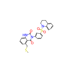 CSCc1cccc2[nH]c(=O)n(-c3cccc(S(=O)(=O)N4CCCc5ccccc54)c3)c(=O)c12